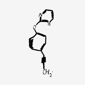 [CH2]C#Cc1ccc(Oc2ncccn2)cc1